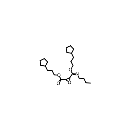 CCCCN=C(OCCCC1CCCC1)C1OC1C(=O)OCCCC1CCCC1